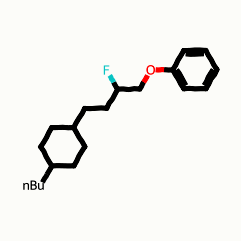 CCCCC1CCC(CCC(F)COc2ccccc2)CC1